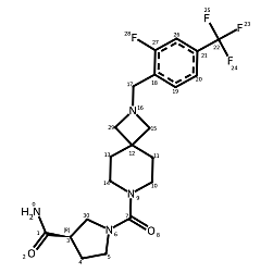 NC(=O)[C@@H]1CCN(C(=O)N2CCC3(CC2)CN(Cc2ccc(C(F)(F)F)cc2F)C3)C1